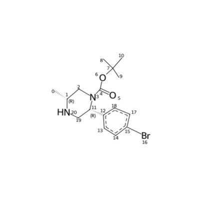 C[C@@H]1CN(C(=O)OC(C)(C)C)[C@H](c2ccc(Br)cc2)CN1